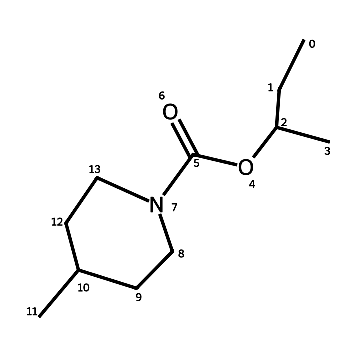 CCC(C)OC(=O)N1CCC(C)CC1